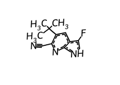 CC(C)(C)c1cc2c(F)c[nH]c2nc1C#N